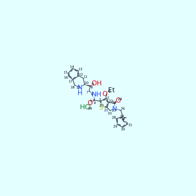 CCOc1c(C(=O)NCC(O)[C@@H]2Cc3ccccc3CN2)sc2c1C(=O)N(Cc1ccccc1)C2.Cl